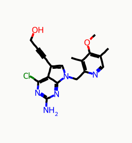 COc1c(C)cnc(Cn2cc(C#CCO)c3c(Cl)nc(N)nc32)c1C